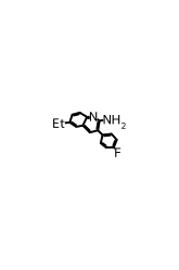 CCc1ccc2nc(N)c(-c3ccc(F)cc3)cc2c1